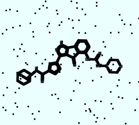 O=C(Nc1cccc2c1C(=O)c1c(-c3ccc(C(=O)NC4CN5CCC4CC5)s3)n[nH]c1-2)NN1CCOCC1